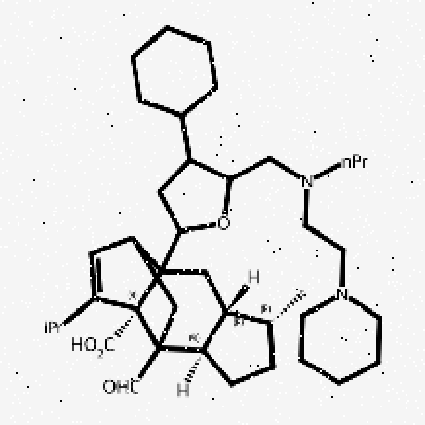 CCCN(CCN1CCCCC1)CC1OC(C23C[C@@H]4[C@H](C)CC[C@H]4C4(C=O)CC2C=C(C(C)C)[C@@]34C(=O)O)CC1C1CCCCC1